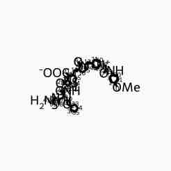 COc1ccc(NC(=O)C[n+]2ccc(CN3CCC(=CC4=C(C(=O)[O-])N5C(=O)[C@@H](NC(=O)C(=NOC6CCCC6)c6csc(N)n6)[C@H]5SC4)C3=O)cc2)cc1